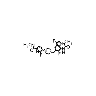 CNC(=O)c1ccc(N2CCN(Cc3cc4c(F)cn5c4c(c3F)NC(=O)C5C)CC2)c(F)n1